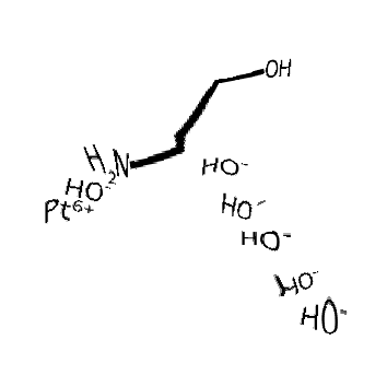 NCCO.[OH-].[OH-].[OH-].[OH-].[OH-].[OH-].[Pt+6]